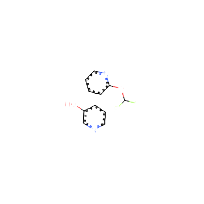 FC(F)Oc1ccccn1.Oc1cccnc1